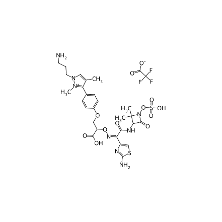 Cc1cn(CCCN)[n+](C)c1-c1ccc(OCC(ON=C(C(=O)NC2C(=O)N(OS(=O)(=O)O)C2(C)C)c2csc(N)n2)C(=O)O)cc1.O=C([O-])C(F)(F)F